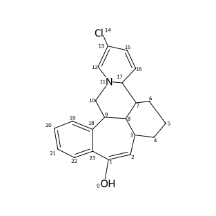 OC1=CC2CCCC3C2C(CN2C=C(Cl)C=CC32)c2ccccc21